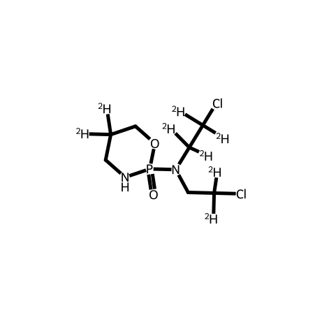 [2H]C([2H])(Cl)CN(C([2H])([2H])C([2H])([2H])Cl)P1(=O)NCC([2H])([2H])CO1